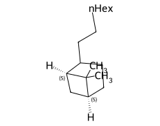 CCCCCCCCC1CC[C@H]2C[C@@H]1C2(C)C